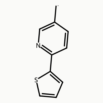 [CH2]c1ccc(-c2cccs2)nc1